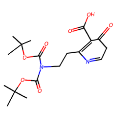 CC(C)(C)OC(=O)N(CCC1=C(C(=O)O)C(=O)CC=N1)C(=O)OC(C)(C)C